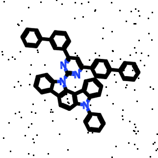 c1ccc(-c2ccc(-c3cc(-c4cccc(-c5ccccc5)c4)nc(-n4c5ccccc5c5ccc6c(c7ccccc7n6-c6ccccc6)c54)n3)cc2)cc1